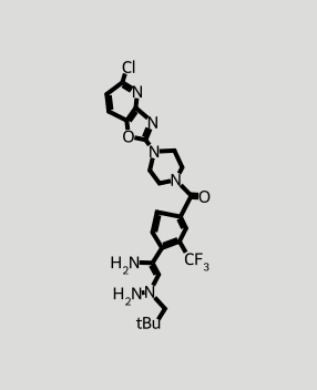 CC(C)(C)CN(N)/C=C(\N)c1ccc(C(=O)N2CCN(c3nc4nc(Cl)ccc4o3)CC2)cc1C(F)(F)F